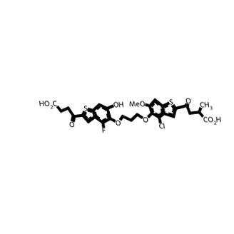 COc1cc2sc(C(=O)CC(C)C(=O)O)cc2c(Cl)c1OCCCOc1c(O)cc2sc(C(=O)CCC(=O)O)cc2c1F